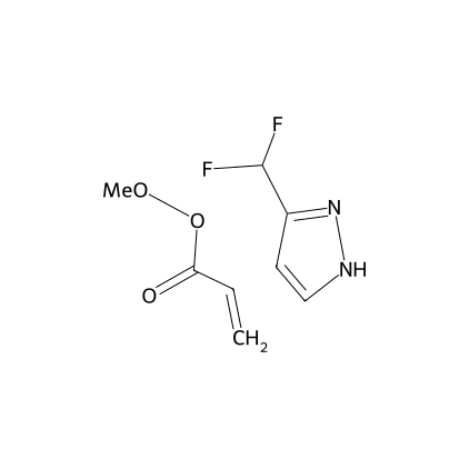 C=CC(=O)OOC.FC(F)c1cc[nH]n1